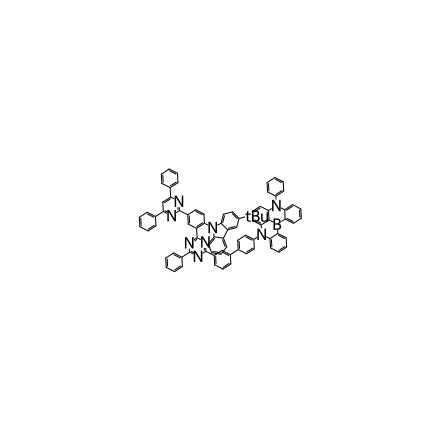 CC(C)(C)c1ccc2c(c1)c1ccccc1n2-c1ccc(-c2nc(-c3ccccc3)cc(-c3ccccc3)n2)cc1-c1nc(-c2ccccc2)nc(-c2cccc(-c3ccc(N4c5ccccc5B5c6ccccc6N(c6ccccc6)c6cccc4c65)cc3)c2)n1